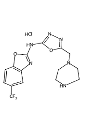 Cl.FC(F)(F)c1ccc2oc(Nc3nnc(CN4CCNCC4)o3)nc2c1